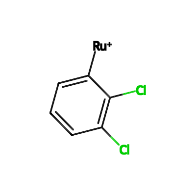 Clc1ccc[c]([Ru+])c1Cl